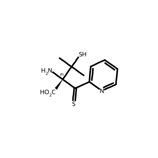 CC(C)(S)[C@](N)(C(=O)O)C(=S)c1ccccn1